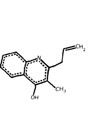 C=CCc1nc2ccccc2c(O)c1C